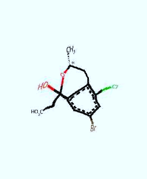 C[C@@H]1Cc2c(Cl)cc(Br)cc2C(O)(CC(=O)O)O1